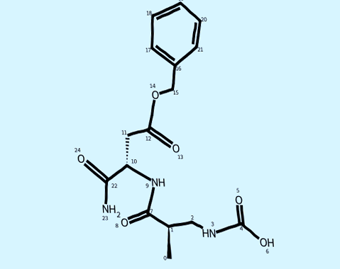 C[C@H](CNC(=O)O)C(=O)N[C@@H](CC(=O)OCc1ccccc1)C(N)=O